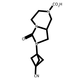 N#CC12CC(N3CC4CN(C(=O)O)CCN4C3=O)(C1)C2